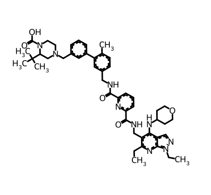 CCc1nc2c(cnn2CC)c(NC2CCOCC2)c1CNC(=O)c1cccc(C(=O)NCc2ccc(C)c(-c3cccc(CN4CCN(C(=O)O)C(C(C)(C)C)C4)c3)c2)n1